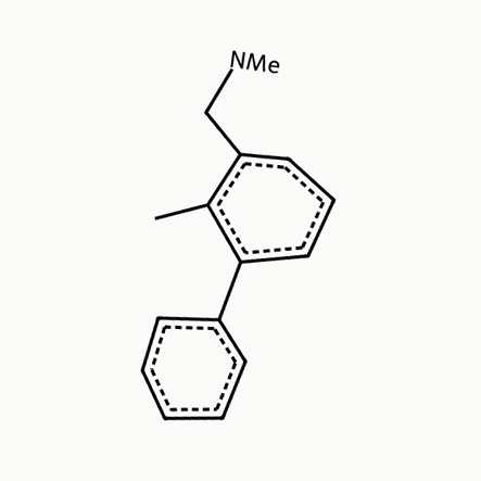 CNCc1cccc(-c2ccccc2)c1C